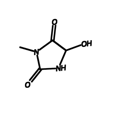 CN1C(=O)NC(O)C1=O